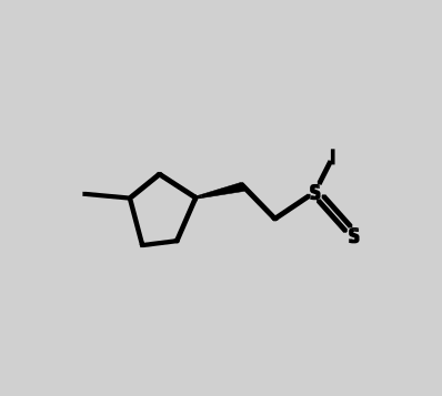 CC1CC[C@H](CCS(=S)I)C1